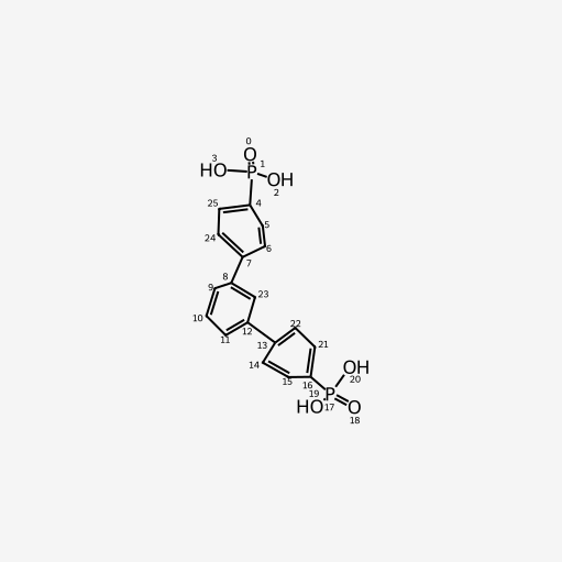 O=P(O)(O)c1ccc(-c2cccc(-c3ccc(P(=O)(O)O)cc3)c2)cc1